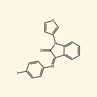 O=C1C(=Nc2ccc(I)cc2)c2ccccc2N1c1ccsc1